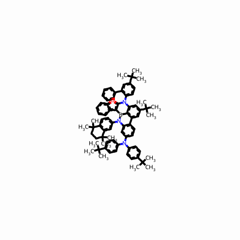 CC(C)(C)c1ccc(N(c2ccc(C(C)(C)C)cc2)c2ccc3c(c2)N(c2ccc4c(c2)C(C)(C)CCC4(C)C)B2c4c-3cc(C(C)(C)C)cc4N(c3ccc(C(C)(C)C)cc3-c3ccccc3)c3oc4ccccc4c32)cc1